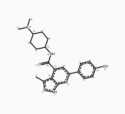 Cc1n[nH]c2nc(-c3ccc(O)cc3)cc(C(=O)NC3CCC(N(C)C)CC3)c12